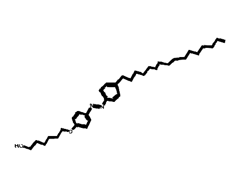 CCCCCCCCCCCCCCCCc1ccc(N=Nc2ccc(OCCCCCCO)cc2)cc1